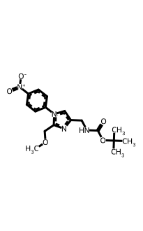 COCc1nc(CNC(=O)OC(C)(C)C)cn1-c1ccc([N+](=O)[O-])cc1